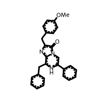 COc1ccc(Cc2nc3c(Cc4ccccc4)[nH]c(-c4ccccc4)cn-3c2=O)cc1